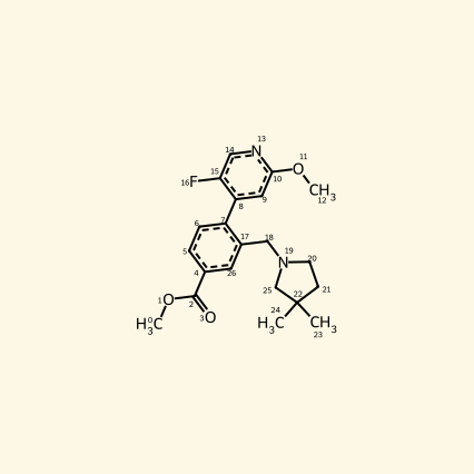 COC(=O)c1ccc(-c2cc(OC)ncc2F)c(CN2CCC(C)(C)C2)c1